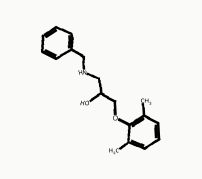 Cc1c[c]cc(C)c1OCC(O)CNCc1ccccc1